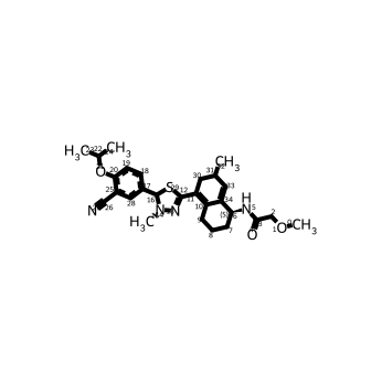 COCC(=O)N[C@H]1CCCC2=C(C3=NN(C)C(c4ccc(OC(C)C)c(C#N)c4)S3)CC(C)C=C21